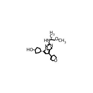 COC[C@H](C)Nc1ncc2c(C3=CCOCC3)cc([C@H]3CC[C@H](O)CC3)n2n1